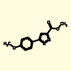 COC(=O)c1cc(-c2ccc(OC)cc2)ns1